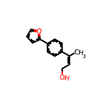 C/C(=C/CO)c1ccc(-c2ccco2)cc1